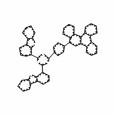 c1ccc2c(c1)oc1c(-c3nc(-c4ccc(-c5cc6c7ccccc7c7ccccc7c6c6ccccc56)cc4)nc(-c4cccc5c4oc4ccccc45)n3)cccc12